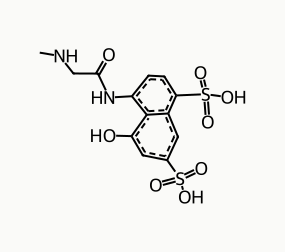 CNCC(=O)Nc1ccc(S(=O)(=O)O)c2cc(S(=O)(=O)O)cc(O)c12